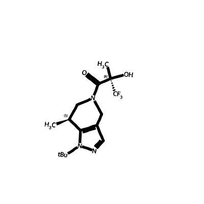 C[C@H]1CN(C(=O)[C@@](C)(O)C(F)(F)F)Cc2cnn(C(C)(C)C)c21